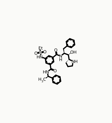 CCS(=O)(=O)Nc1cc(C(=O)N[C@@H](Cc2ccccc2)[C@H](O)[C@H]2CCCN2)cc(C(=O)N[C@H](C)c2ccccc2)c1